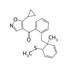 CSC1C=CC=CC1(C)Cc1ccccc1C(=O)c1cnoc1C1CC1